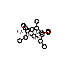 Cc1cccc(-c2cccc(-c3c(-n4c5ccc(-c6ccccc6)cc5c5cc(-c6ccccc6)ccc54)cnc(-n4c5ccc(-c6ccccc6)cc5c5cc(-c6ccccc6)ccc54)c3-n3c4ccc(-c5ccccc5)cc4c4cc(-c5ccccc5)ccc43)c2)n1